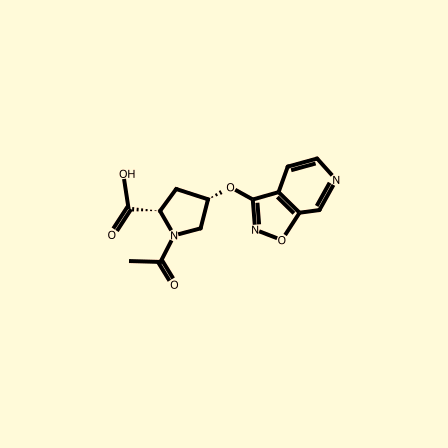 CC(=O)N1C[C@@H](Oc2noc3cnccc23)C[C@H]1C(=O)O